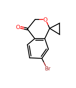 O=C1COC2(CC2)c2cc(Br)ccc21